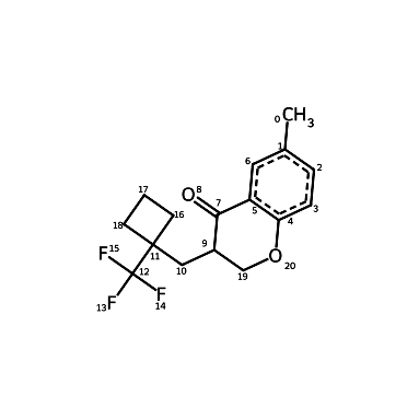 Cc1ccc2c(c1)C(=O)C(CC1(C(F)(F)F)CCC1)CO2